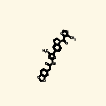 Cc1ncoc1C(=O)N1CCc2cc(-c3nc(NC(=O)Cc4ccc5c(c4)OCO5)sc3C)ccc21